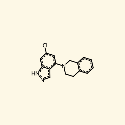 Clc1cc(N2CCc3ccccc3C2)c2cn[nH]c2c1